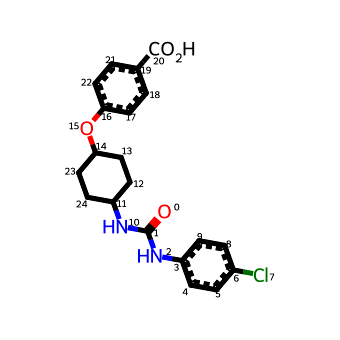 O=C(Nc1ccc(Cl)cc1)NC1CCC(Oc2ccc(C(=O)O)cc2)CC1